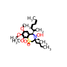 C=C(/C=C\C=C/C)[C@@H]1c2cc(OC)c(OC)c(OC)c2S(=O)(=O)C[C@@](CC)(CCCC)N1O